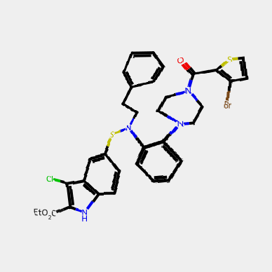 CCOC(=O)c1[nH]c2ccc(SN(CCc3ccccc3)c3ccccc3N3CCN(C(=O)c4sccc4Br)CC3)cc2c1Cl